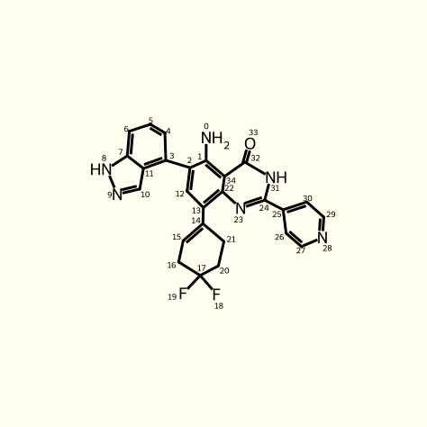 Nc1c(-c2cccc3[nH]ncc23)cc(C2=CCC(F)(F)CC2)c2nc(-c3ccncc3)[nH]c(=O)c12